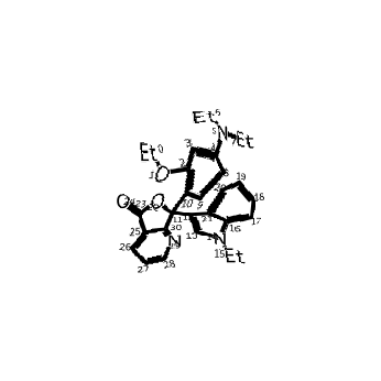 CCOc1cc(N(CC)CC)ccc1C1(c2cn(CC)c3ccccc23)OC(=O)c2cccnc21